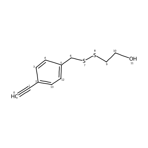 C#Cc1ccc(CSSCCO)cc1